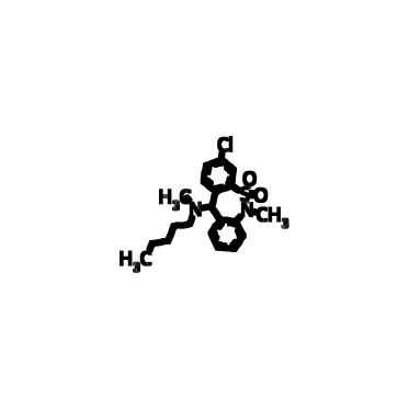 CCCCCN(C)C1c2ccccc2N(C)S(=O)(=O)c2cc(Cl)ccc21